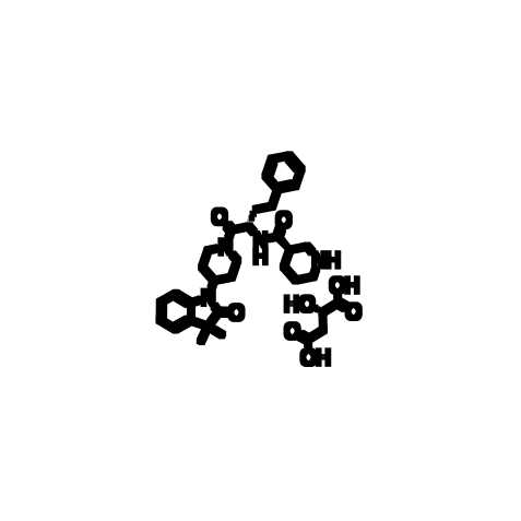 CC1(C)C(=O)N(C2CCN(C(=O)[C@H](CCc3ccccc3)NC(=O)[C@@H]3CCCNC3)CC2)c2ccccc21.O=C(O)C[C@H](O)C(=O)O